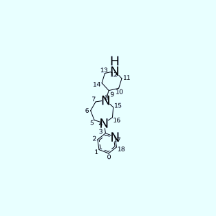 c1ccc(N2CCCN(C3CCNCC3)CC2)nc1